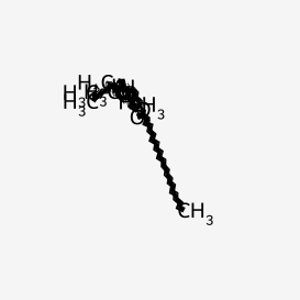 CCCCCCCCCCCCCCCCCCCCCC=CC(=O)O[C@H]1CC[C@@]2(C)C(=CC[C@H]3[C@@H]4CC[C@H]([C@H](C)CCCC(C)C)[C@@]4(C)CC[C@@H]32)C1